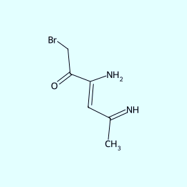 CC(=N)/C=C(\N)C(=O)CBr